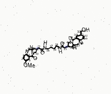 COc1ccc2c(c1)C(=O)N1C/C(=C\C(=O)NCCCCNC(=O)/C=C3/C[C@H]4C=Nc5ccc(CO)cc5C(=O)N4C3)C[C@H]1C=N2